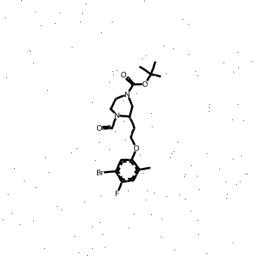 Cc1cc(F)c(Br)cc1OCCC1CN(C(=O)OC(C)(C)C)CCN1C=O